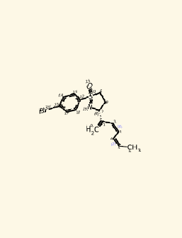 C=C(/C=C\C=C/C)[C@H]1CCS(=O)(c2ccc(Br)cc2)=N1